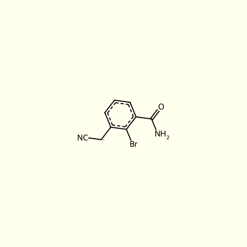 N#C[CH]c1cccc(C(N)=O)c1Br